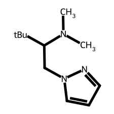 CN(C)C(Cn1cccn1)C(C)(C)C